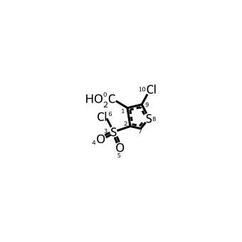 O=C(O)c1c(S(=O)(=O)Cl)csc1Cl